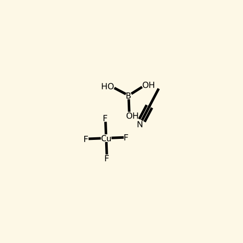 CC#N.OB(O)O.[F][Cu]([F])([F])[F]